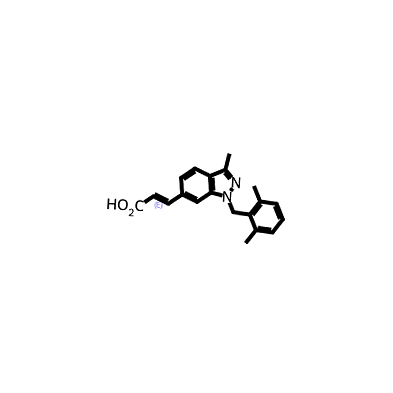 Cc1cccc(C)c1Cn1nc(C)c2ccc(/C=C/C(=O)O)cc21